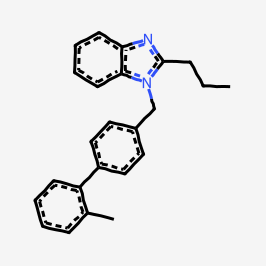 CCCc1nc2ccccc2n1Cc1ccc(-c2ccccc2C)cc1